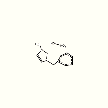 CN1C=CN(Cc2ccccc2)C1.O=[N+]([O-])O